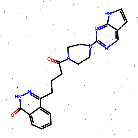 O=C(CCCc1n[nH]c(=O)c2ccccc12)N1CCN(c2ncc3cc[nH]c3n2)CC1